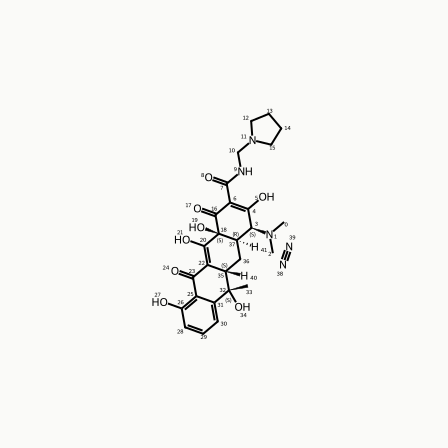 CN(C)[C@@H]1C(O)=C(C(=O)NCN2CCCC2)C(=O)[C@@]2(O)C(O)=C3C(=O)c4c(O)cccc4[C@@](C)(O)[C@H]3C[C@H]12.N#N